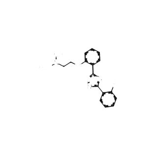 CN(C)CCOc1ccccc1-c1nc(-c2ccccc2F)no1